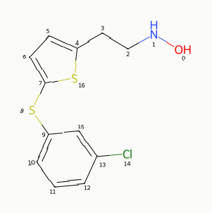 ONCCc1ccc(Sc2cccc(Cl)c2)s1